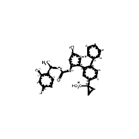 CC(OC(=O)Nc1cc(Cl)sc1-c1cc(C2(C(=O)O)CC2)ccc1-c1ccccc1)c1ccc(F)cc1Cl